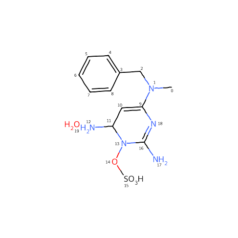 CN(Cc1ccccc1)C1=CC(N)N(OS(=O)(=O)O)C(N)=N1.O